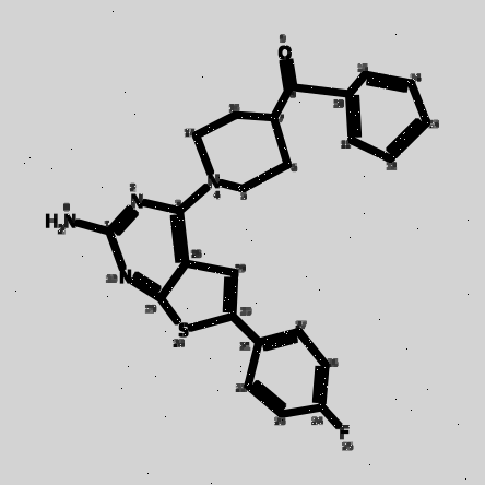 Nc1nc(N2CCC(C(=O)c3ccccc3)CC2)c2cc(-c3ccc(F)cc3)sc2n1